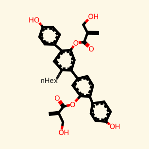 C=C(CO)C(=O)Oc1cc(-c2cc(OC(=O)C(=C)CO)c(-c3ccc(O)cc3)cc2CCCCCC)ccc1-c1ccc(O)cc1